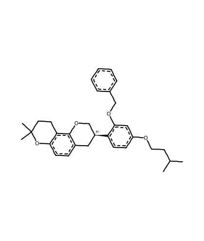 CC(C)CCOc1ccc([C@@H]2COc3c(ccc4c3CCC(C)(C)O4)C2)c(OCc2ccccc2)c1